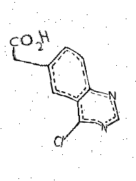 O=C(O)Cc1ccc2ncnc(Cl)c2c1